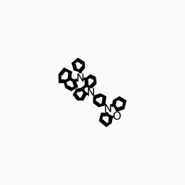 c1ccc(N(c2cccc3ccccc23)c2cccc3c2c2ccccc2n3-c2ccc(N3c4ccccc4Oc4ccccc43)cc2)cc1